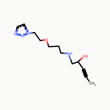 CC#CC(O)CNCCCOCCn1ccnn1